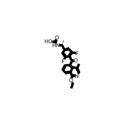 CCOc1ncc(C)c2c(C(=O)c3c(F)cc([C@@H](C)NC(=O)O)cc3F)cccc12